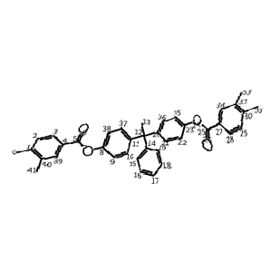 Cc1ccc(C(=O)Oc2ccc(C(C)(c3ccccc3)c3ccc(OC(=O)c4ccc(C)c(C)c4)cc3)cc2)cc1C